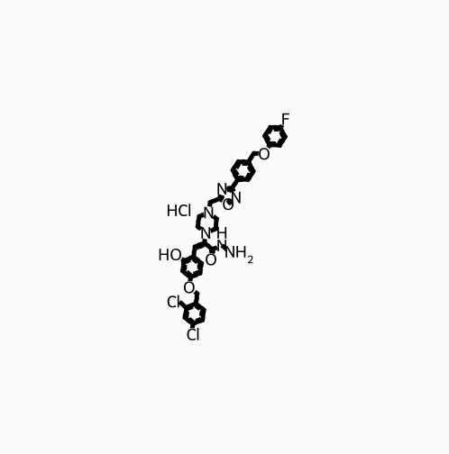 Cl.NNC(=O)C(=Cc1ccc(OCc2ccc(Cl)cc2Cl)cc1O)N1CCN(Cc2nc(-c3ccc(COc4ccc(F)cc4)cc3)no2)CC1